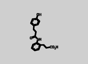 O=C(O)CCc1ccccc1NC(=O)CCc1ccc(O)cc1